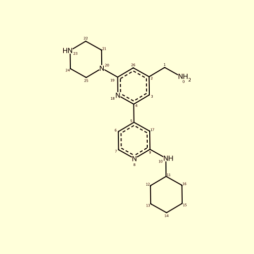 NCc1cc(-c2ccnc(NC3CCCCC3)c2)nc(N2CCNCC2)c1